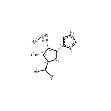 CC(=O)C(O)[C@@H]1O[C@@H](c2c[nH]nn2)[C@@H](O)[C@H]1O.NC=O